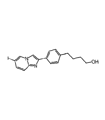 OCCCCc1ccc(-c2cn3cc(I)ccc3n2)cc1